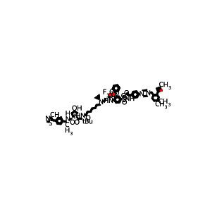 Cc1ncsc1-c1ccc([C@H](C)NC(=O)[C@@H]2C[C@@H](O)CN2C(=O)[C@@H](NC(=O)CCCCCCN(CC[C@H](CSc2ccccc2)Nc2ccc(S(=O)(=O)NC(=O)c3ccc(N4CCN(CC5=C(C67CC(C)(C6)C7)CC(C)(C)CC5)CC4)cc3)cc2S(=O)(=O)C(F)(F)F)C2CC2)C(C)(C)C)cc1